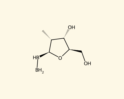 BB[C@@H]1O[C@H](CO)[C@@H](O)[C@H]1C